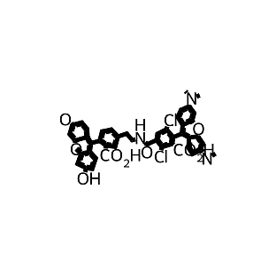 C/N=c1/ccc2c(-c3c(Cl)cc(C(=O)NCCc4ccc(-c5c6ccc(=O)cc-6oc6cc(O)ccc56)c(C(=O)O)c4)c(Cl)c3C(=O)O)c3ccc(N(C)C)cc3oc-2c1